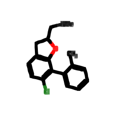 CNCC1Cc2ccc(Cl)c(-c3ccccc3C)c2O1